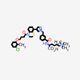 Cc1c(Cl)cccc1OCCCC(=O)N1CCSc2c(-c3cnn(Cc4cccc(C(=O)NC(CCCC[N+](C)(C)C)C(=O)O)c4)c3)cccc21